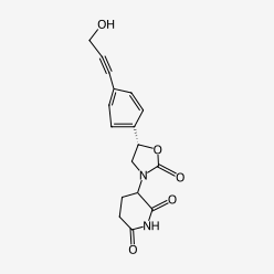 O=C1CCC(N2C[C@H](c3ccc(C#CCO)cc3)OC2=O)C(=O)N1